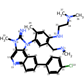 C=NCc1cc(-n2c(=N)n(C)c3cnc4ccc(-c5ccc(Cl)cc5)cc4c32)c(C)cc1NCCN(C)C